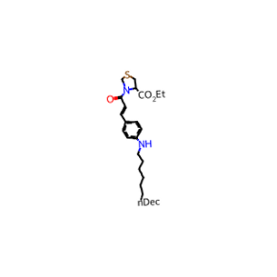 CCCCCCCCCCCCCCCCNc1ccc(C=CC(=O)N2CSCC2C(=O)OCC)cc1